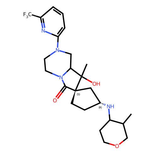 CC1COCCC1N[C@@H]1CC[C@@]2(C1)C(=O)N1CCN(c3cccc(C(F)(F)F)n3)CC1C2(C)O